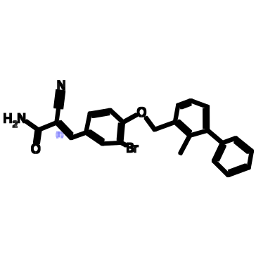 Cc1c(COc2ccc(/C=C(\C#N)C(N)=O)cc2Br)cccc1-c1ccccc1